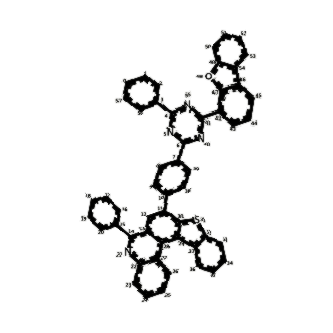 c1ccc(-c2nc(-c3ccc(-c4cc5c(-c6ccccc6)nc6ccccc6c5c5c4sc4ccccc45)cc3)nc(-c3cccc4c3oc3ccccc34)n2)cc1